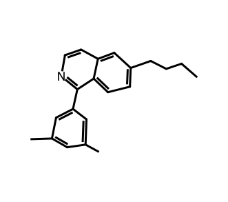 CCCCc1ccc2c(-c3cc(C)cc(C)c3)nccc2c1